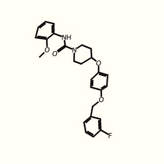 COc1ccccc1NC(=O)N1CCC(Oc2ccc(OCc3cccc(F)c3)cc2)CC1